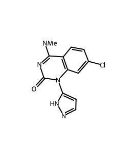 CNc1nc(=O)n(-c2ccn[nH]2)c2cc(Cl)ccc12